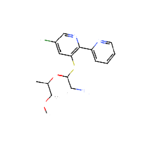 CCOCC(C)OC(Sc1cc(Cl)cnc1-c1ccccn1)[C@H](N)OC